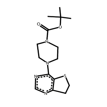 CC(C)(C)OC(=O)N1CCN(c2ncnc3c2SCC3)CC1